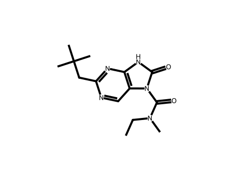 CCN(C)C(=O)n1c(=O)[nH]c2nc(CC(C)(C)C)ncc21